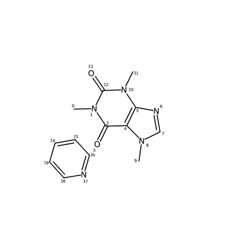 Cn1c(=O)c2c(ncn2C)n(C)c1=O.c1ccncc1